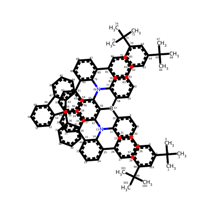 CC(C)(C)c1cc(-c2ccc3c(c2)N(c2c(-c4ccccc4)cccc2-c2ccccc2)c2cc(C4(c5ccccc5)c5ccccc5-c5ccccc54)cc4c2B3c2ccc(-c3cc(C(C)(C)C)cc(C(C)(C)C)c3)cc2N4c2c(-c3ccccc3)cccc2-c2ccccc2)cc(C(C)(C)C)c1